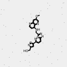 COc1cnc2c(NCc3nnc4ccc(-c5cc(CO)no5)nn34)ccnc2c1